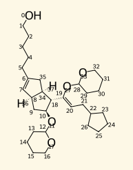 OCCCCCC1=C[C@@H]2C[C@H](OC3CCCCO3)[C@@H](C(=CCC3CCCC3)OC3CCCCO3)[C@@H]2C1